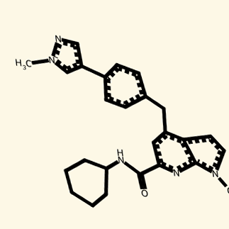 Cn1cc(-c2ccc(Cc3cc(C(=O)NC4CCCCC4)nc4c3ccn4C)cc2)cn1